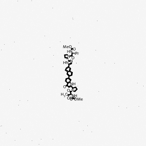 COC(=O)N[C@H](C(=O)N1CCC[C@H]1c1ncc(-c2ccc3cc(-c4ccc5c(=O)cc(C6CCCN6C(=O)[C@@H](NC(=O)OC)[C@@H](C)OC)[nH]c5c4)ccc3c2)[nH]1)C(C)C